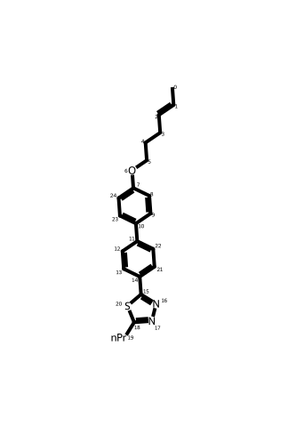 CC=CCCCOc1ccc(-c2ccc(-c3nnc(CCC)s3)cc2)cc1